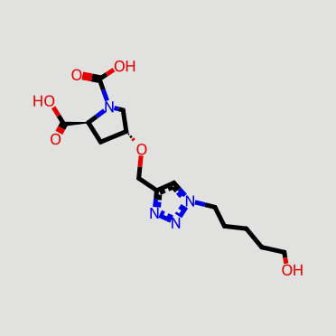 O=C(O)[C@@H]1C[C@@H](OCc2cn(CCCCCO)nn2)CN1C(=O)O